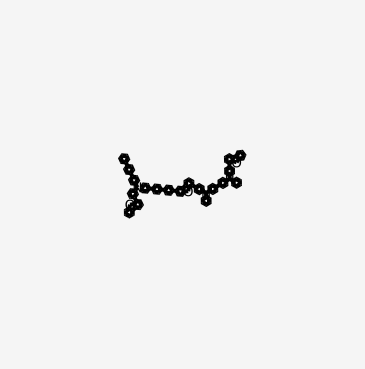 c1ccc(-c2ccc(-c3ccc(N(c4ccc(-c5ccc(-c6ccc(-c7ccc8oc9c(-c%10ccc(N(c%11ccccc%11)c%11ccc(-c%12ccc(N(c%13ccccc%13)c%13ccc(-c%14cccc%15c%14oc%14ccccc%14%15)cc%13)cc%12)cc%11)cc%10)cccc9c8c7)cc6)cc5)cc4)c4cccc(-c5cccc6c5oc5ccccc56)c4)cc3)cc2)cc1